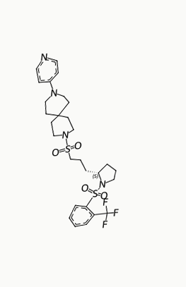 O=S(=O)(CCC[C@@H]1CCCN1S(=O)(=O)c1ccccc1C(F)(F)F)N1CCC2(CCN(c3ccncc3)CC2)CC1